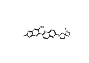 CN1CCC12CCN(c1ccc3nc(-c4cc5cn(C)nc5cc4O)ccc3n1)C2